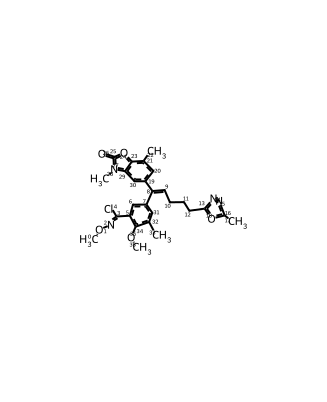 CO/N=C(\Cl)c1cc(/C(=C\CCCc2nnc(C)o2)c2cc(C)c3oc(=O)n(C)c3c2)cc(C)c1OC